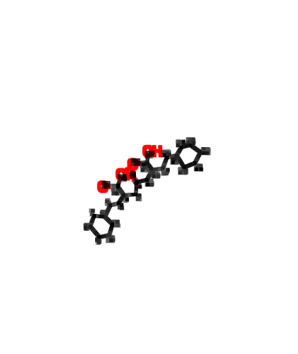 O=C(CC(CCC1CCCCC1)C(=O)O)CC(CCC1CCCCC1)C(=O)O